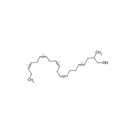 CC/C=C\C/C=C\C/C=C\C/C=C\CC/C=C/CC(C)CO